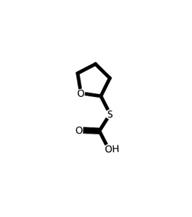 O=C(O)SC1CCCO1